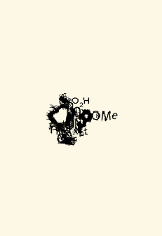 CCN(C)c1cc2cc(OC)ccc2c(O[C@@H]2C[C@H]3C(=O)N[C@]4(C(=O)NS(=O)(=O)C5(CF)CC5)C[C@H]4C=CCC[C@@H](C)C[C@@H](C)[C@H](N(C(=O)O)C(C)(C)C(C)(F)F)C(=O)N3C2)n1